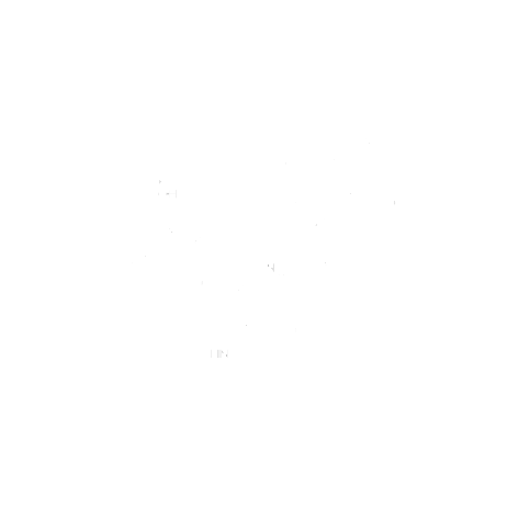 CNC(=O)c1cc(C(=O)O)cc(C(O)c2ccccc2OC)n1